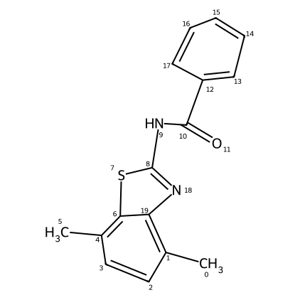 Cc1ccc(C)c2sc(NC(=O)c3ccccc3)nc12